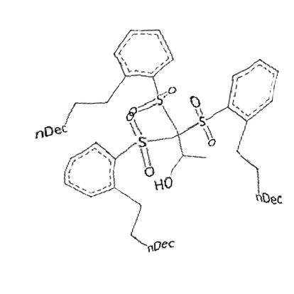 CCCCCCCCCCCCc1ccccc1S(=O)(=O)C(C(C)O)(S(=O)(=O)c1ccccc1CCCCCCCCCCCC)S(=O)(=O)c1ccccc1CCCCCCCCCCCC